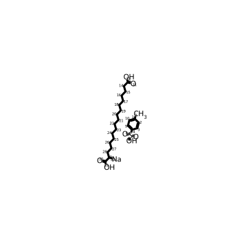 Cc1ccc(S(=O)(=O)O)cc1.O=C(O)CCCCCCCCCCCCCCC[CH]([Na])C(=O)O